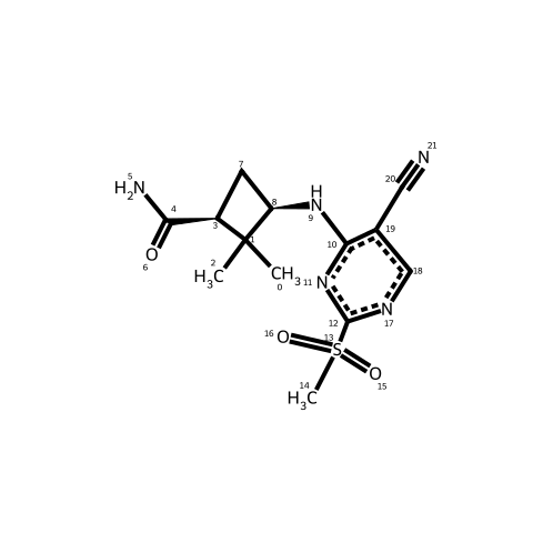 CC1(C)[C@@H](C(N)=O)C[C@H]1Nc1nc(S(C)(=O)=O)ncc1C#N